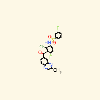 Cc1cnc2ccc(C(=O)c3c(F)ccc(NS(=O)(=O)c4cccc(F)c4)c3Cl)cc2n1